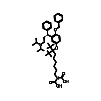 CC(C)N(CC[C@H](c1ccccc1)c1cc(OC(CCCCCCN(C(=O)O)C(=O)O)(C(C)(C)C)C(C)(C)C)ccc1OCc1ccccc1)C(C)C